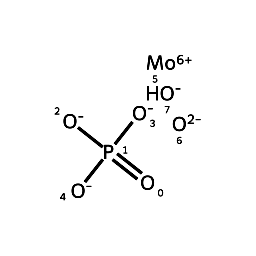 O=P([O-])([O-])[O-].[Mo+6].[O-2].[OH-]